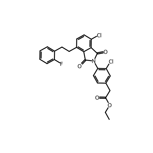 CCOC(=O)Cc1ccc(N2C(=O)c3c(Cl)ccc(CCc4ccccc4F)c3C2=O)c(Cl)c1